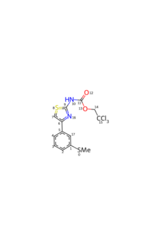 CSc1cccc(-c2csc(NC(=O)OCC(Cl)(Cl)Cl)n2)c1